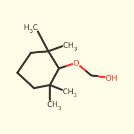 CC1(C)CCCC(C)(C)C1OCO